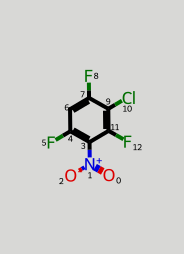 O=[N+]([O-])c1c(F)cc(F)c(Cl)c1F